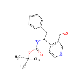 CC(C)(C)OC(=O)NC(Cc1ccccc1)c1ccncc1C=O